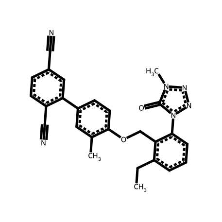 CCc1cccc(-n2nnn(C)c2=O)c1COc1ccc(-c2cc(C#N)ccc2C#N)cc1C